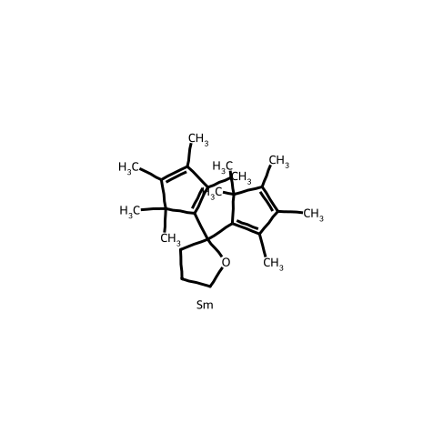 CC1=C(C)C(C)(C)C(C2(C3=C(C)C(C)=C(C)C3(C)C)CCCO2)=C1C.[Sm]